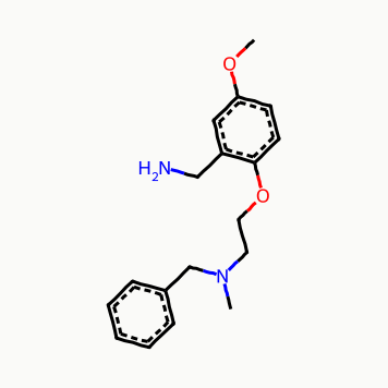 COc1ccc(OCCN(C)Cc2ccccc2)c(CN)c1